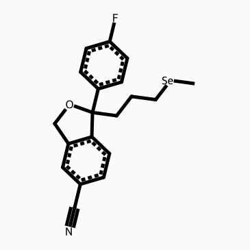 C[Se]CCCC1(c2ccc(F)cc2)OCc2cc(C#N)ccc21